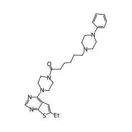 CCc1cc2c(N3CCN(C(=O)CCCCCN4CCN(c5ccccc5)CC4)CC3)ncnc2s1